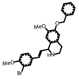 COc1ccc(C=CC2NCCc3cc(OCc4ccccc4)c(OC)cc32)cc1Br